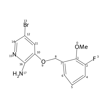 COc1c(F)cccc1COc1cc(Br)cnc1N